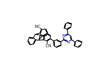 N#Cc1cccc2c1C1c3ccccc3C23c2c(ccc(-c4cccc(-c5nc(-c6ccccc6)cc(-c6ccccc6)n5)c4)c2C#N)C13